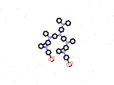 c1ccc(N(c2ccccc2)c2ccc(N(c3ccc(N(c4ccccc4)c4ccc5c(c4)c4ccccc4n5-c4ccc(C5OCCO5)cc4)cc3)c3ccc(N(c4ccccc4)c4ccc5c(c4)c4ccccc4n5-c4ccc(C5OCCO5)cc4)cc3)cc2)cc1